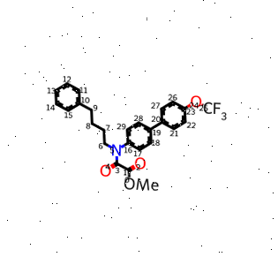 COC(=O)C(=O)N(CCCCc1ccccc1)c1ccc(-c2ccc(OC(F)(F)F)cc2)cc1